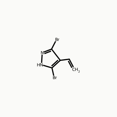 C=Cc1c(Br)n[nH]c1Br